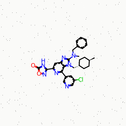 CN(Cc1ccccc1)c1nc2cc(-c3noc(=O)[nH]3)nc(-c3cncc(Cl)c3)c2n1C[C@H]1CC[C@H](C)CC1